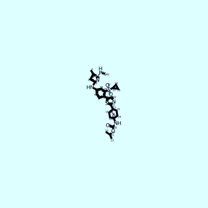 Cc1cc(Nc2ccc(-c3cnc(C45CCC(NC(=O)OC(C)C)(CC4)CC5)s3)c(S(=O)(=O)C3CC3)c2)nn1PI